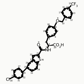 O=C(N[C@@H](Cc1ccc(OCc2ccc(C(F)(F)F)cc2)cc1)C(=O)O)c1cc2cc(-c3ccc(Cl)cc3)ccc2s1